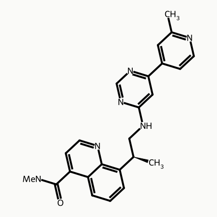 CNC(=O)c1ccnc2c([C@H](C)CNc3cc(-c4ccnc(C)c4)ncn3)cccc12